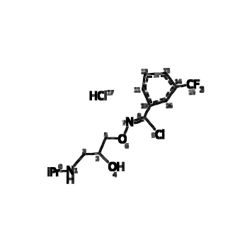 CC(C)NCC(O)CON=C(Cl)c1cccc(C(F)(F)F)c1.Cl